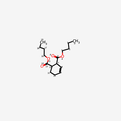 CCCCOC(=O)C1C=CCCC1C(=O)OCCCC